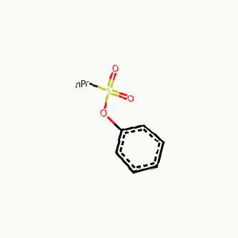 CCCS(=O)(=O)Oc1ccccc1